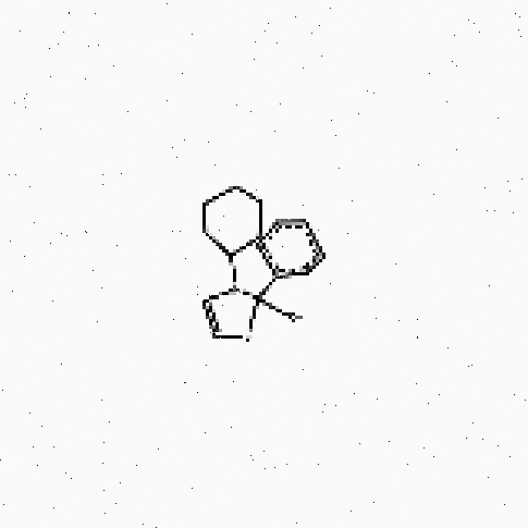 SC1(c2ccccc2)SC=CN1C1CCCCC1